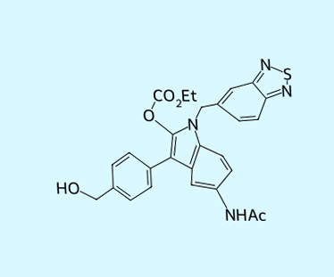 CCOC(=O)Oc1c(-c2ccc(CO)cc2)c2cc(NC(C)=O)ccc2n1Cc1ccc2nsnc2c1